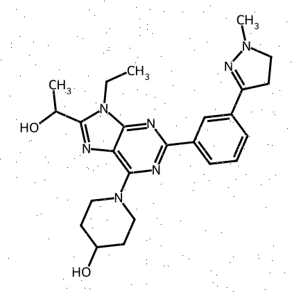 CCn1c(C(C)O)nc2c(N3CCC(O)CC3)nc(-c3cccc(C4=NN(C)CC4)c3)nc21